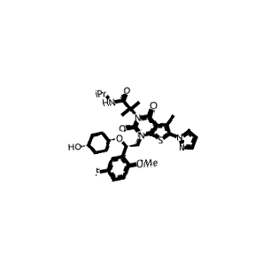 COc1ccc(F)cc1[C@H](Cn1c(=O)n(C(C)(C)C(=O)NC(C)C)c(=O)c2c(C)c(-n3cccn3)sc21)O[C@H]1CC[C@@H](O)CC1